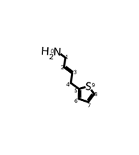 NCC=CCc1cccs1